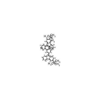 Cc1ccc(-n2c3ccccc3c3cc(C(C)(C)C)ccc32)cc1-c1cnccc1-n1c2ccccc2c2cc(C(C)(C)C)ccc21